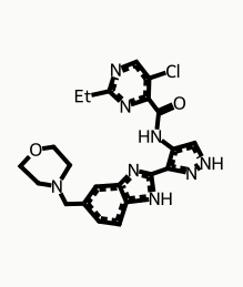 CCc1ncc(Cl)c(C(=O)Nc2c[nH]nc2-c2nc3cc(CN4CCOCC4)ccc3[nH]2)n1